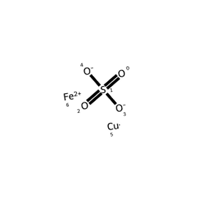 O=S(=O)([O-])[O-].[Cu].[Fe+2]